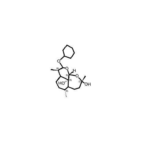 C[C@H]1C(OC2CCCCC2)O[C@@H]2O[C@](C)(O)CCC3[C@H](C)CCC1[C@]32O